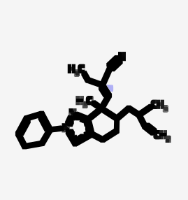 C=CC(C)CC1CCc2cn(C3=CC=CCC3)nc2C1(C)/C=C(/C#N)CC